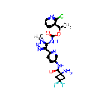 C[C@@H](OC(=O)Nc1c(-c2ccc(NC(=O)C3(N)CC(F)(F)C3)cn2)nnn1C)c1cccnc1Cl